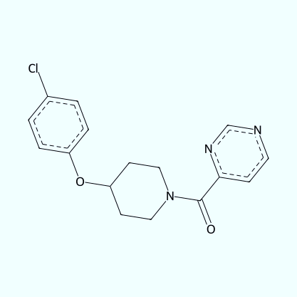 O=C(c1ccncn1)N1CCC(Oc2ccc(Cl)cc2)CC1